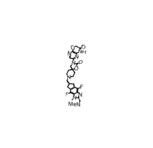 CNCc1nc2c(F)c3c(c(F)c2n1C)CC(CN1CCC2(CC1)CN(c1cnc4c(n1)NC(=O)CO4)C(=O)O2)C3